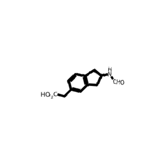 O=CNC1Cc2ccc(CC(=O)O)cc2C1